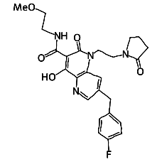 COCCNC(=O)c1c(O)c2ncc(Cc3ccc(F)cc3)cc2n(CCN2CCCC2=O)c1=O